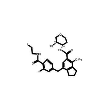 COc1c(C(=O)N[C@H]2CCOC[C@@H]2O)cc(Cc2ccc(C(=O)NCCF)c(F)c2)c2c1CCC2